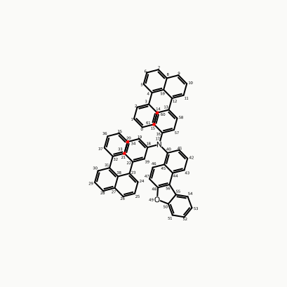 c1ccc(-c2cccc3cccc(-c4ccc(N(c5cccc(-c6cccc7cccc(-c8ccccc8)c67)c5)c5cccc6c5ccc5oc7ccccc7c56)cc4)c23)cc1